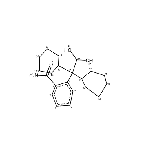 NC(=O)c1ccccc1C(C(O)O)(C1CCCCC1)C1CCCCC1